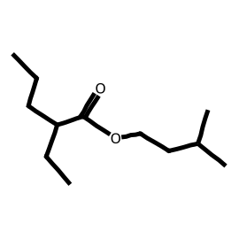 CCCC(CC)C(=O)OCCC(C)C